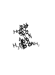 CN(c1cccnc1)c1ncccc1CC(c1cccnc1)c1cccc(N)n1.N#Cc1ccc(C(Cc2cccnc2N2CCS(O)(O)c3ccccc32)c2cccnc2)cc1